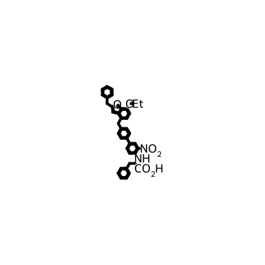 CCOc1ccc(Cc2ccc(-c3ccc(NC(Cc4ccccc4)C(=O)O)c([N+](=O)[O-])c3)cc2)c2cc(Cc3ccccc3)oc12